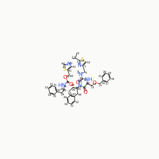 CC(C)c1nc(CN(C)C(=O)N[C@@H](COCc2ccccc2)C(=O)N[C@H](CC[C@H](Cc2ccccc2)NC(=O)OCc2cncs2)Cc2ccccc2)cs1